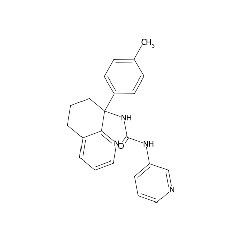 Cc1ccc(C2(NC(=O)Nc3cccnc3)CCCc3cccnc32)cc1